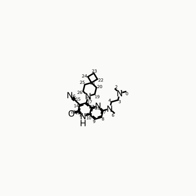 CN(C)CCN(C)c1ccc2[nH]c(=O)c(C#N)c(N3CCC4(CCC4)CC3)c2n1